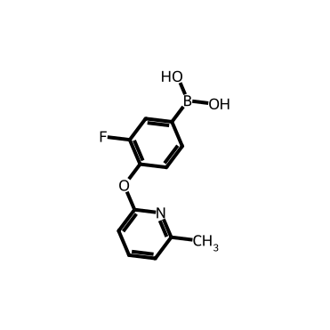 Cc1cccc(Oc2ccc(B(O)O)cc2F)n1